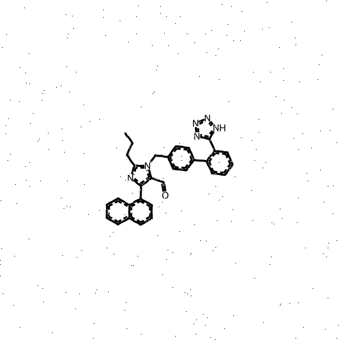 CCCc1nc(-c2cccc3ccccc23)c(C=O)n1Cc1ccc(-c2ccccc2-c2nnn[nH]2)cc1